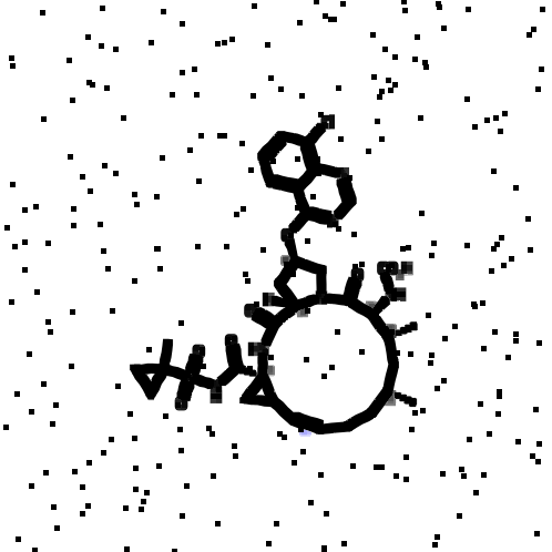 C[C@@H]1CC/C=C\C2C[C@@]2(C(=O)NS(=O)(=O)C2(C)CC2)NC(=O)[C@@H]2C[C@@H](Oc3ncnc4c(Cl)cccc34)CN2C(=O)[C@@H](NC(=O)O)[C@H](C)C1